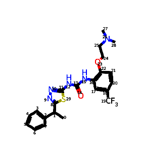 CC(c1ccccc1)c1nnc(NC(=O)Nc2cc(C(F)(F)F)ccc2OCCN(C)C)s1